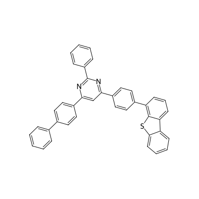 c1ccc(-c2ccc(-c3cc(-c4ccc(-c5cccc6c5sc5ccccc56)cc4)nc(-c4ccccc4)n3)cc2)cc1